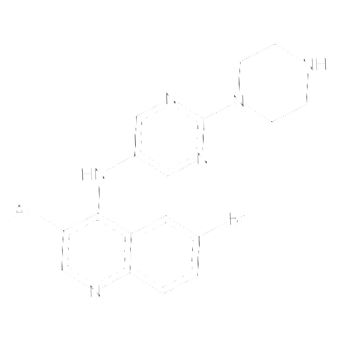 CC(=O)c1cnc2ccc(Br)cc2c1Nc1cnc(N2CCNCC2)nc1